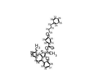 Cc1nnc2n1-c1sc(C(C)OC(=O)c3ccc(OCCCCc4ccccc4)cc3)cc1C(c1ccccc1Cl)=NC2